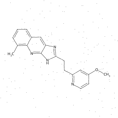 COc1ccnc(CCc2nc3cc4cccc(C)c4nc3[nH]2)c1